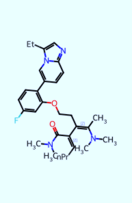 CCC/C=C(C(=O)N(C)C)/C(CCOc1cc(F)ccc1-c1ccc2ncc(CC)n2c1)=C(/C)N(C)C